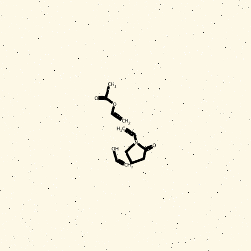 C=CN1CCCC1=O.C=CO.C=COC(C)=O